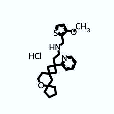 COc1ccsc1CNCCC1(c2ccccn2)CC2(CCOC3(CCCC3)C2)C1.Cl